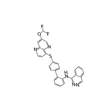 FC(F)Oc1cnc2c(Sc3ccc(-c4ccccc4Nc4nncc5ccccc45)cc3)ccnc2c1